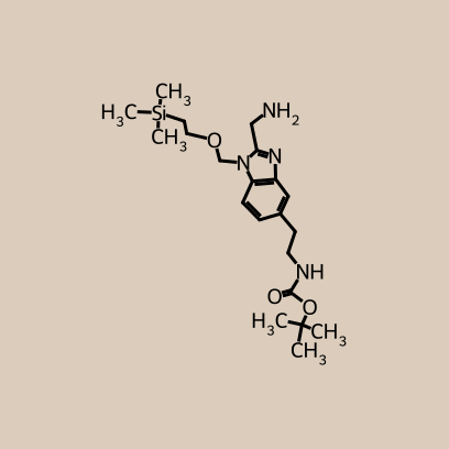 CC(C)(C)OC(=O)NCCc1ccc2c(c1)nc(CN)n2COCC[Si](C)(C)C